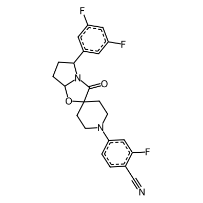 N#Cc1ccc(N2CCC3(CC2)OC2CCC(c4cc(F)cc(F)c4)N2C3=O)cc1F